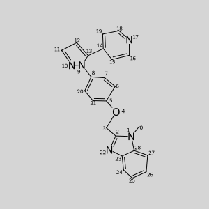 Cn1c(COc2ccc(-n3nccc3-c3ccncc3)cc2)nc2ccccc21